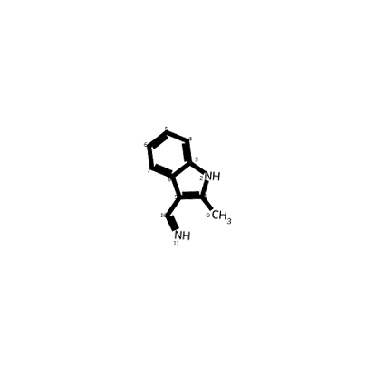 Cc1[nH]c2ccccc2c1C=N